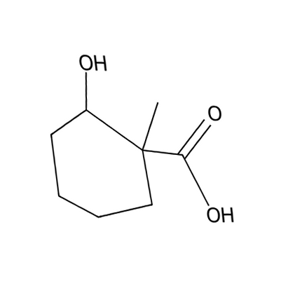 CC1(C(=O)O)CCCCC1O